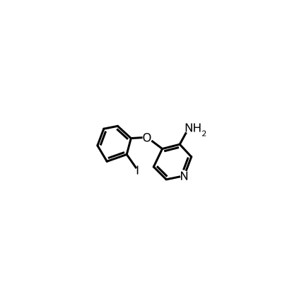 Nc1cnccc1Oc1ccccc1I